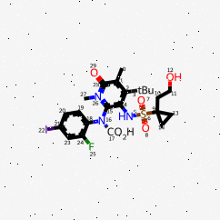 Cc1c(C(C)(C)C)c(NS(=O)(=O)C2(CCO)CC2)c(N(C(=O)O)c2ccc(I)cc2F)n(C)c1=O